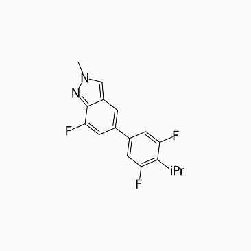 CC(C)c1c(F)cc(-c2cc(F)c3nn(C)cc3c2)cc1F